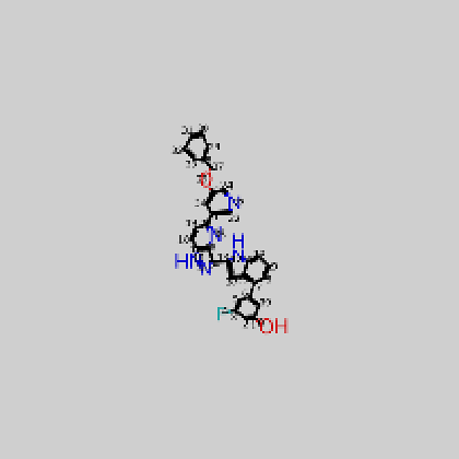 Oc1cc(F)cc(-c2cccc3[nH]c(-c4n[nH]c5ccc(-c6cncc(OCc7ccccc7)c6)nc45)cc23)c1